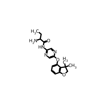 CCC(N)C(=O)Nc1cnc(Oc2cccc3c2C(C)(C)CO3)cn1